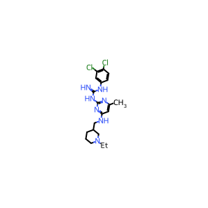 CCN1CCCC(CNc2cc(C)nc(NC(=N)Nc3ccc(Cl)c(Cl)c3)n2)C1